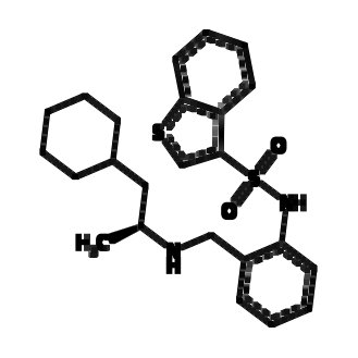 C[C@@H](CC1CCCCC1)NCc1ccccc1NS(=O)(=O)c1csc2ccccc12